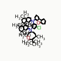 C=C1/C=C(N(c2cc(Cl)cc(N(c3ccc4c(c3)C(C)(C)CCC4(C)C)c3cccc4c3oc3ccccc34)c2)c2cc3c(cc2C)C(C)(C)CCC3(C)C)\C=C/C(C)/C=C(/C(C)(C)C)C(=C)O1